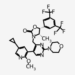 COc1ncc(C2CC2)cc1-c1cnc(N2CCOCC2)nc1CN1C(=O)O[C@H](c2cc(C(F)(F)F)cc(C(F)(F)F)c2)[C@@H]1C